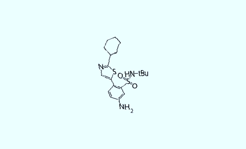 CC(C)(C)NS(=O)(=O)c1cc(N)ccc1-c1cnc(C2CCCCC2)s1